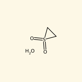 O.O=S1(=O)CC1